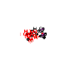 C[P+](c1ccccc1)(c1ccccc1)c1ccccc1.C[P+](c1ccccc1)(c1ccccc1)c1ccccc1.O=C(O)CCCC(C(=O)O)(C(O)(c1ccccc1OC(=O)c1cccc(S(=O)(=O)[O-])c1)C1CCCCC1)C(O)(c1ccccc1OC(=O)c1cccc(S(=O)(=O)[O-])c1)C1CCCCC1